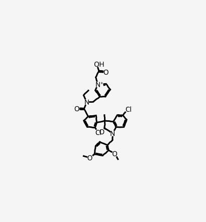 CCN(Cc1ccc[n+](CC(=O)O)c1)C(=O)c1ccc(Cl)c(C2(C)C(=O)N(Cc3ccc(OC)cc3OC)c3ccc(Cl)cc32)c1